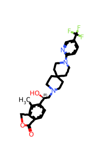 Cc1c([C@@H](O)CN2CCC3(CC2)CCN(c2ccc(C(F)(F)F)cn2)CC3)ccc2c1COC2=O